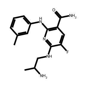 Cc1cccc(Nc2nc(NCC(C)N)c(F)cc2C(N)=O)c1